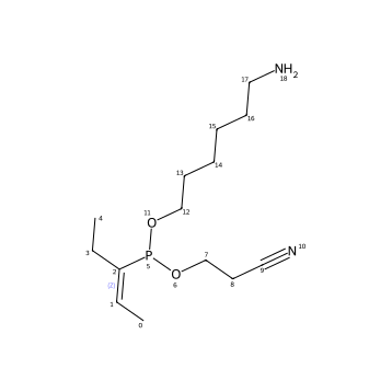 C/C=C(/CC)P(OCCC#N)OCCCCCCN